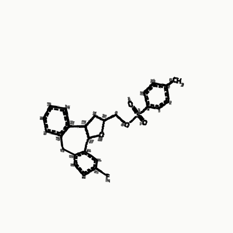 Cc1ccc(S(=O)(=O)OCC2CC3c4ccccc4Cc4ccc(F)cc4C3O2)cc1